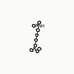 c1ccc(N(c2ccc(-c3ccc(-c4ccc(-c5ccc(C6Nc7ccccc7N6c6ccccc6)cc5)cc4)cc3)cc2)c2cccc3ccccc23)cc1